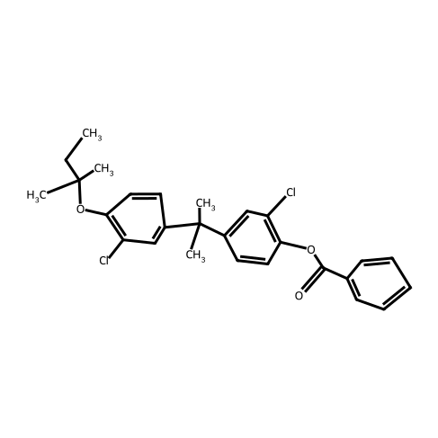 CCC(C)(C)Oc1ccc(C(C)(C)c2ccc(OC(=O)c3ccccc3)c(Cl)c2)cc1Cl